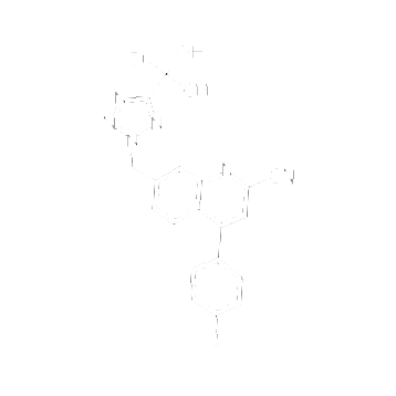 CCC(C)(O)c1nnn(Cc2ccc3c(-c4ccc(F)cc4)cc(C#N)nc3c2)n1